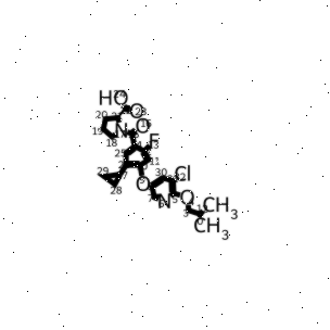 CC(C)COc1ncc(Oc2cc(F)c(C(=O)N3CCC[C@H]3C(=O)O)cc2C2CC2)cc1Cl